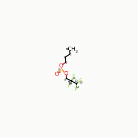 CCCCO[P](=O)OCC(F)(F)C(F)F